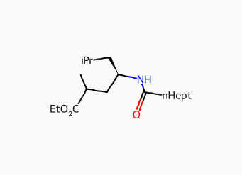 CCCCCCCC(=O)N[C@H](CC(C)C)CC(C)C(=O)OCC